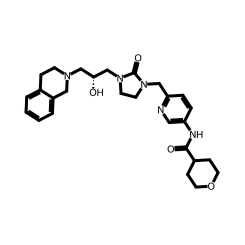 O=C(Nc1ccc(CN2CCN(C[C@H](O)CN3CCc4ccccc4C3)C2=O)nc1)C1CCOCC1